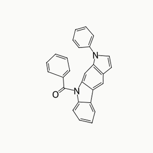 O=C(c1ccccc1)n1c2ccccc2c2cc3ccn(-c4ccccc4)c3cc21